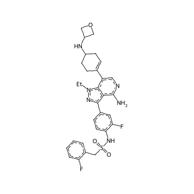 CCn1nc(-c2ccc(NS(=O)(=O)Cc3ccccc3F)c(F)c2)c2c(N)ncc(C3=CCC(NC4COC4)CC3)c21